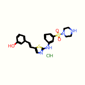 Cl.O=S(=O)(c1cccc(Nc2ncc(C=Cc3cccc(O)c3)s2)c1)N1CCNCC1